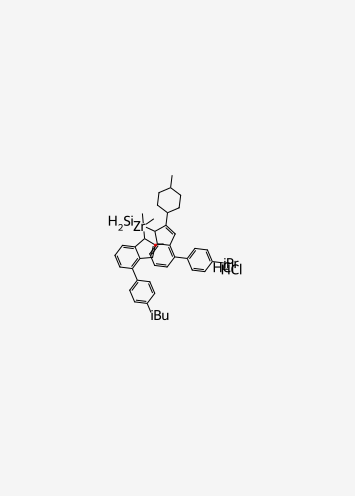 CCC(C)c1ccc(-c2cccc3c2C=C(C)[CH]3[Zr]([CH3])([CH3])(=[SiH2])[CH]2C(C3CCC(C)CC3)=Cc3c(-c4ccc(C(C)C)cc4)cccc32)cc1.Cl.Cl